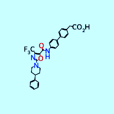 O=C(O)Cc1ccc(-c2ccc(NC(=O)c3oc(N4CCC(c5ccccc5)CC4)nc3C(F)(F)F)cc2)cc1